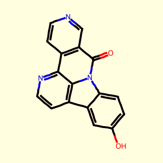 O=c1c2cnccc2c2nccc3c4cc(O)ccc4n1c32